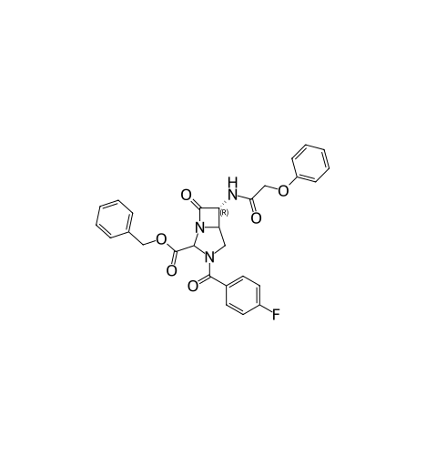 O=C(COc1ccccc1)N[C@H]1C(=O)N2C1CN(C(=O)c1ccc(F)cc1)C2C(=O)OCc1ccccc1